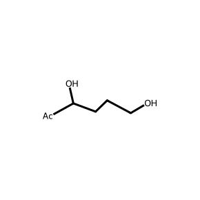 CC(=O)C(O)CCCO